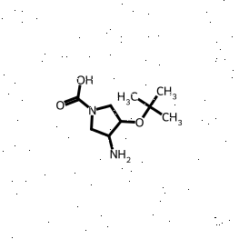 CC(C)(C)OC1CN(C(=O)O)CC1N